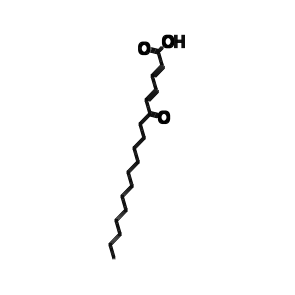 CCCCCCCCCCCCC(=O)/C=C/C=C/C(=O)O